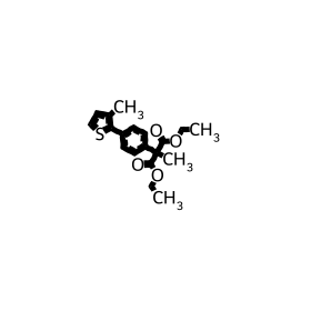 CCOC(=O)C(C)(C(=O)OCC)c1ccc(-c2sccc2C)cc1